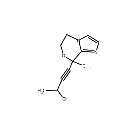 CC(C)C#CC1(C)OCCn2ccnc21